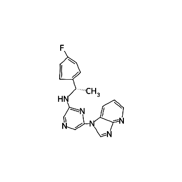 C[C@H](Nc1cncc(-n2cnc3ncccc32)n1)c1ccc(F)cc1